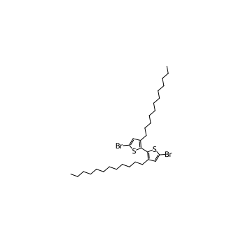 CCCCCCCCCCCCc1cc(Br)sc1-c1sc(Br)cc1CCCCCCCCCCCC